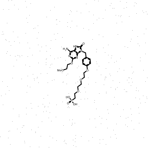 COCCOc1nc(N)c2[nH]c(=O)n(Cc3ccc(OCCOCCOCCP(=O)(O)O)cc3)c2n1